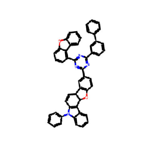 C1=CC2c3cc(-c4nc(-c5cccc(-c6ccccc6)c5)nc(-c5cccc6oc7ccccc7c56)n4)ccc3OC2c2c1n(-c1ccccc1)c1ccccc21